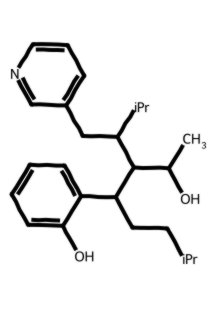 CC(C)CCC(c1ccccc1O)C(C(C)O)C(Cc1cccnc1)C(C)C